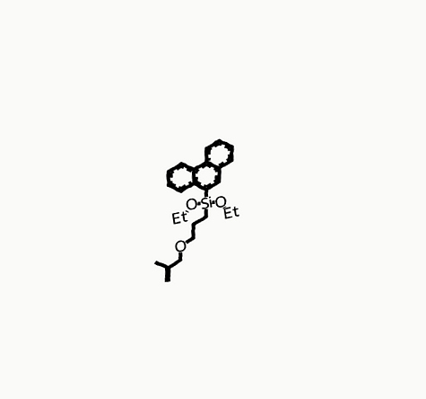 C=C(C)COCCC[Si](OCC)(OCC)c1cc2ccccc2c2ccccc12